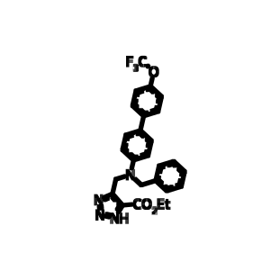 CCOC(=O)c1[nH]nnc1CN(Cc1ccccc1)c1ccc(-c2ccc(OC(F)(F)F)cc2)cc1